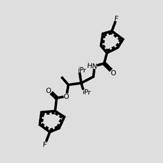 CC(C)C(CNC(=O)c1ccc(F)cc1)(C(C)C)C(C)OC(=O)c1ccc(F)cc1